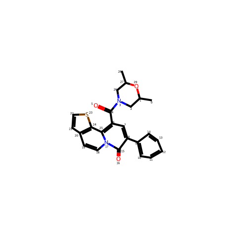 CC1CN(C(=O)c2cc(-c3ccccc3)c(=O)n3ccc4ccsc4c23)CC(C)O1